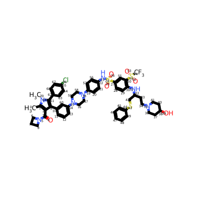 Cc1c(C(=O)N2CCC2)c(-c2cccc(N3CCN(c4ccc(NS(=O)(=O)c5ccc(NC(CCN6CCC(O)CC6)CSc6ccccc6)c(S(=O)(=O)C(F)(F)F)c5)cc4)CC3)c2)c(-c2ccc(Cl)cc2)n1C